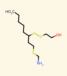 NCSCCC(CCCCC(=O)O)SSCCO